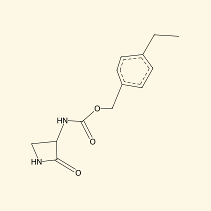 CCc1ccc(COC(=O)NC2CNC2=O)cc1